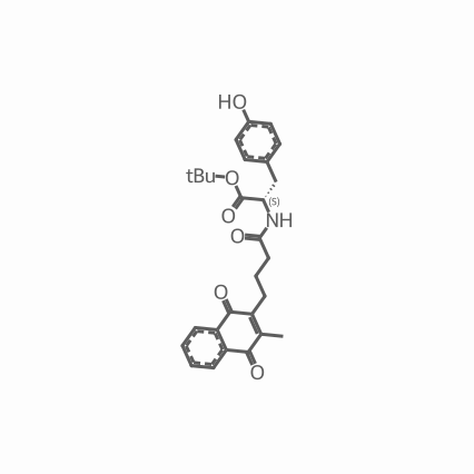 CC1=C(CCCC(=O)N[C@@H](Cc2ccc(O)cc2)C(=O)OC(C)(C)C)C(=O)c2ccccc2C1=O